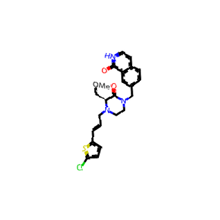 COC[C@H]1C(=O)N(Cc2ccc3cc[nH]c(=O)c3c2)CCN1CC=Cc1ccc(Cl)s1